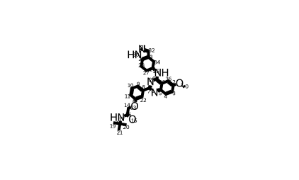 COc1ccc2nc(-c3cccc(OCC(=O)NC(C)(C)C)c3)nc(NC3CCc4[nH]ncc4C3)c2c1